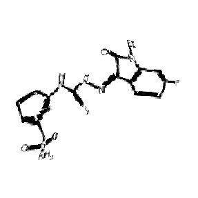 CCN1C(=O)C(=NNC(=S)Nc2cccc(S(N)(=O)=O)c2)c2ccc(F)cc21